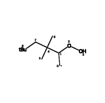 [CH2]C(OO)C(C)(C)CC(C)(C)C